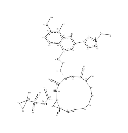 CCn1cc(-c2cc(OCC[C@@H]3NC(=O)N(C)CCCCC=C[C@@H]4C[C@@]4(C(=O)NS(=O)(=O)C4(C)CC4)NC3=O)c3ccc(OC)c(C)c3n2)cn1